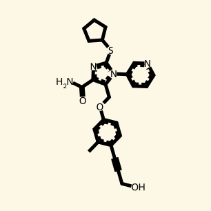 Cc1cc(OCc2c(C(N)=O)nc(SC3CCCC3)n2-c2cccnc2)ccc1C#CCO